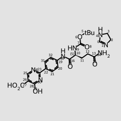 C1=NCCN1.CC(C)(C)OC(=O)N[C@@H](CCC(N)=O)C(=O)Nc1ccc(-c2ncc(C(=O)O)c(O)n2)cc1